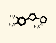 Cc1cc(N2CCC(N3CCC[C@@H]3C)C2)ccc1N